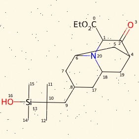 CCOC(=O)C1C(=O)C2CC3CC(CC(C)(C)[Si](C)(C)O)CC(C2)N31